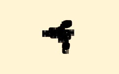 CC(C)(O)C#Cc1cc(CN2CCOCC2)cc2c(O)c(C(=O)NCc3ccc(Cl)cc3)nnc12